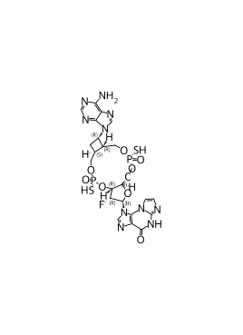 Nc1ncnc2c1ncn2[C@@H]1C[C@@H]2COP(=O)(S)O[C@H]3[C@@H](F)[C@H](n4cnc5c(=O)[nH]c6nccn6c54)O[C@@H]3COP(=O)(S)OC[C@H]21